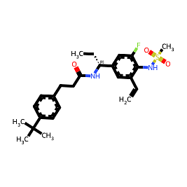 C=Cc1cc([C@@H](CC)NC(=O)CCc2ccc(C(C)(C)C)cc2)cc(F)c1NS(C)(=O)=O